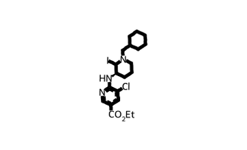 CCOC(=O)c1cnc(N[C@@H]2CCCN(CC3CCCCC3)C2I)c(Cl)c1